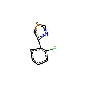 Fc1ccccc1-c1cscn1